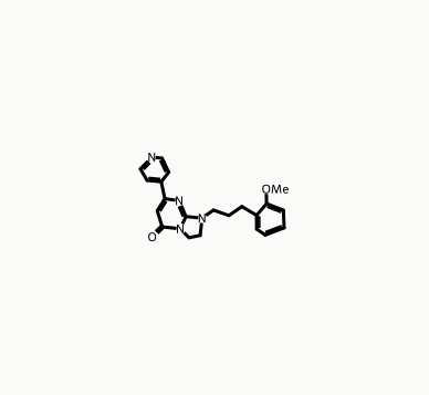 COc1ccccc1CCCN1CCn2c1nc(-c1ccncc1)cc2=O